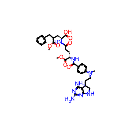 COC(=O)C(Cc1ccccc1)C[C@H](NC(=O)CC[C@H](NC(=O)c1ccc(N(C)CCC2CNc3nc(N)nc(N)c32)cc1)C(=O)OC)C(=O)O